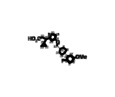 COc1ccc(F)c([C@H]2CC[C@@H](COc3ccnc(C(CC(=O)O)C4CC4)c3)CC2)c1